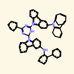 C1=CC=C2CC(=C1)C1=C(CCC=C1)N2c1ccc2c(c1)c1ccccc1n2C1=NC(c2ccccc2)=NC(n2c3ccccc3c3cc(Nc4ccccc4-c4ccccc4)ccc32)N1